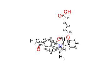 [2H]C([2H])(c1ccccc1OCCCCCC(=O)O)N(C(=O)c1ccc(C(C)=O)cc1)C(C)C